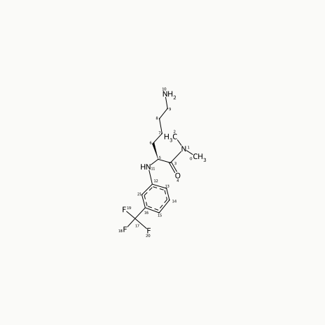 CN(C)C(=O)[C@H](CCCCN)Nc1cccc(C(F)(F)F)c1